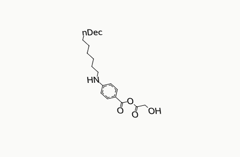 CCCCCCCCCCCCCCCCNc1ccc(C(=O)OC(=O)CO)cc1